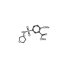 COC(=O)c1cc(S(=O)(=O)N[C@H]2CCOC2)ccc1OC